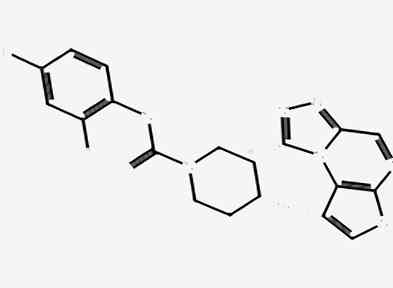 C[C@@H]1CCN(C(=O)Nc2ccc(F)cc2F)C[C@@H]1c1nnc2cnc3[nH]ccc3n12